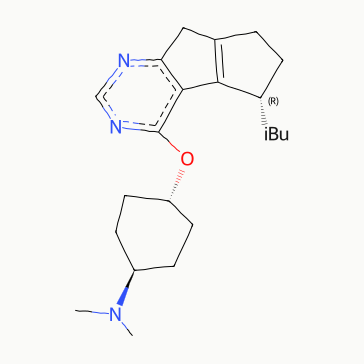 CCC(C)[C@H]1CCC2=C1c1c(ncnc1O[C@H]1CC[C@H](N(C)C)CC1)C2